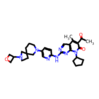 CC(=O)c1c(C)c2cnc(Nc3ccc(N4CCCC5(CCN(C6COC6)C5)C4)cn3)nc2n(C2CCCC2)c1=O